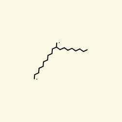 [CH2]CCCCCCCCCC([CH2])CCCCCCCC